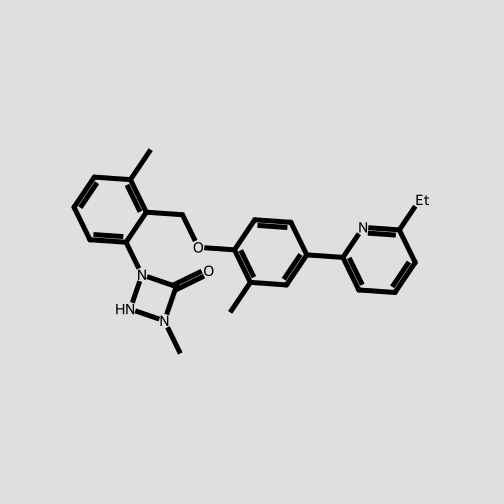 CCc1cccc(-c2ccc(OCc3c(C)cccc3-n3[nH]n(C)c3=O)c(C)c2)n1